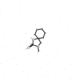 CN1CC2(CCCCC2)OC1=O